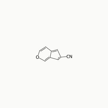 N#Cc1cc2ccocc-2c1